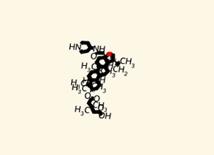 C=C(C)[C@@H]1CC[C@]2(CC(=O)NC3CCNCC3)CC[C@]3(C)[C@H](CC[C@@H]4[C@@]5(C)CC[C@H](OC(=O)CC(C)(C)CC(=O)O)C(C)(C)[C@@H]5CC[C@]43C)[C@@H]12